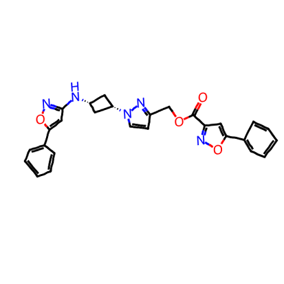 O=C(OCc1ccn([C@H]2C[C@@H](Nc3cc(-c4ccccc4)on3)C2)n1)c1cc(-c2ccccc2)on1